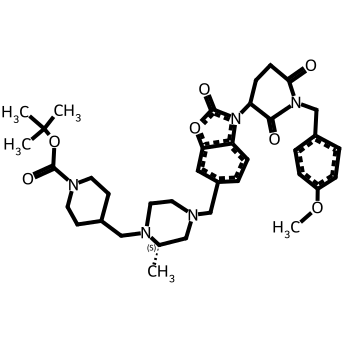 COc1ccc(CN2C(=O)CCC(n3c(=O)oc4cc(CN5CCN(CC6CCN(C(=O)OC(C)(C)C)CC6)[C@@H](C)C5)ccc43)C2=O)cc1